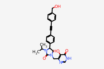 CC(C)N1C(=O)N(Cc2nc[nH]c(=O)c2O)CC1c1ccc(C#Cc2ccc(CO)cc2)cc1